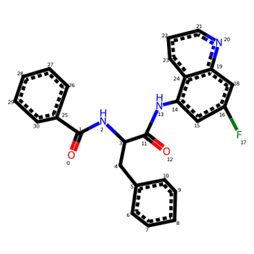 O=C(NC(Cc1ccccc1)C(=O)Nc1cc(F)cc2ncccc12)c1ccccc1